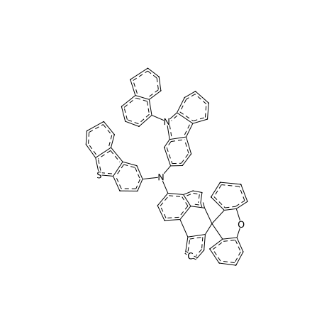 c1ccc2c(c1)Oc1ccccc1C21c2ccccc2-c2ccc(N(c3ccc4sc5ccccc5c4c3)c3ccc4c5ccccc5n(-c5cccc6ccccc56)c4c3)c3cccc1c23